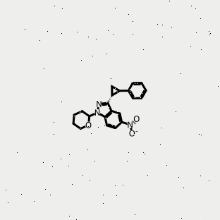 O=[N+]([O-])c1ccc2c(c1)c([C@@H]1CC1c1ccccc1)nn2C1CCCCO1